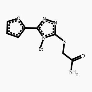 CCn1c(SCC(N)=O)nnc1-c1ccco1